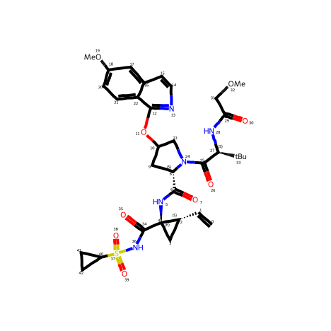 C=C[C@@H]1C[C@]1(NC(=O)[C@@H]1CC(Oc2nccc3cc(OC)ccc23)CN1C(=O)[C@@H](NC(=O)COC)C(C)(C)C)C(=O)NS(=O)(=O)C1CC1